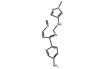 C=N/C=C\C(=N/CNc1cnn(C)c1)c1ccc(N)cc1